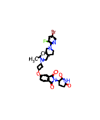 CC(C)N(CC1CCN(c2ncc(Br)cc2F)CC1)[C@H]1C[C@H](Oc2ccc3c(c2)C(=O)N(C2CCC(=O)NC2=O)C3=O)C1